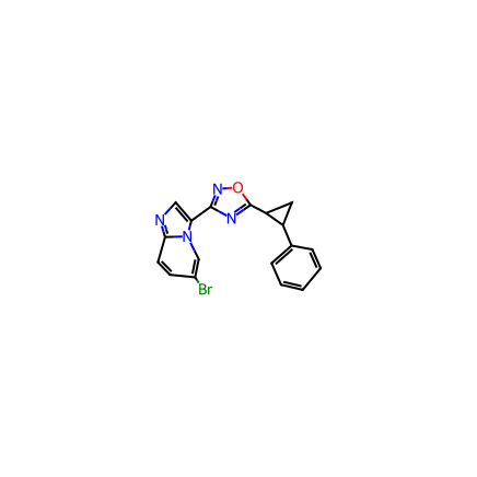 Brc1ccc2ncc(-c3noc(C4CC4c4ccccc4)n3)n2c1